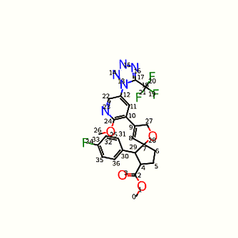 COC(=O)C1CCC2(C=C(c3cc(-n4nnnc4C(F)(F)F)cnc3OC)CO2)C1c1ccc(F)cc1